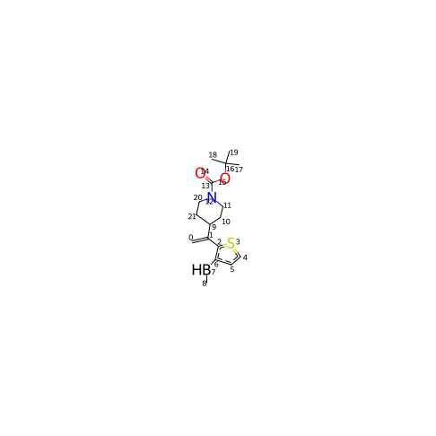 C=C(c1sccc1BC)C1CCN(C(=O)OC(C)(C)C)CC1